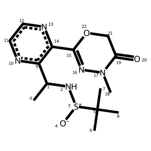 CC(N[S+]([O-])C(C)(C)C)c1nccnc1C1=NN(C)C(=O)CO1